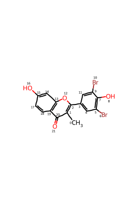 Cc1c(-c2cc(Br)c(O)c(Br)c2)oc2cc(O)ccc2c1=O